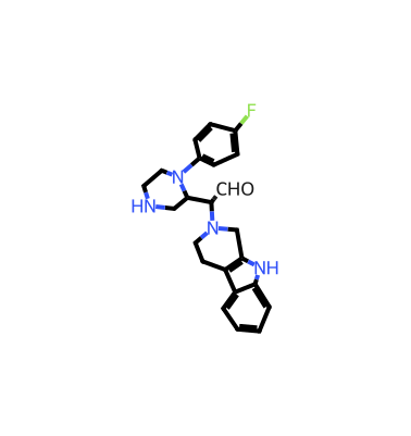 O=CC(C1CNCCN1c1ccc(F)cc1)N1CCc2c([nH]c3ccccc23)C1